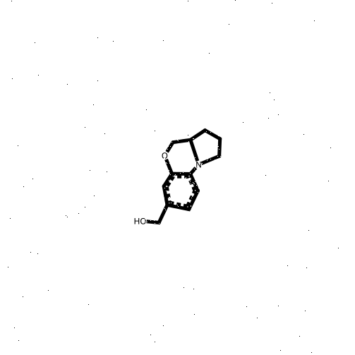 OCc1ccc2c(c1)OCC1CCCN21